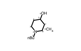 C.CCCCN1CCC(O)CC1